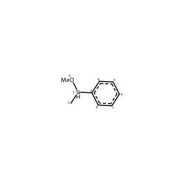 CO[SiH](C)c1ccccc1